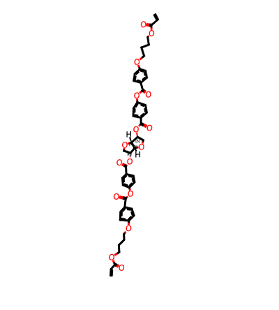 C=CC(=O)OCCCCOc1ccc(C(=O)Oc2ccc(C(=O)O[C@H]3CO[C@H]4[C@@H]3OC[C@H]4OC(=O)c3ccc(OC(=O)c4ccc(OCCCCOC(=O)C=C)cc4)cc3)cc2)cc1